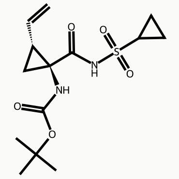 C=C[C@H]1C[C@@]1(NC(=O)OC(C)(C)C)C(=O)NS(=O)(=O)C1CC1